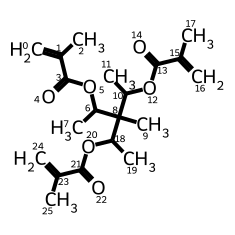 C=C(C)C(=O)OC(C)C(C)(C(C)OC(=O)C(=C)C)C(C)OC(=O)C(=C)C